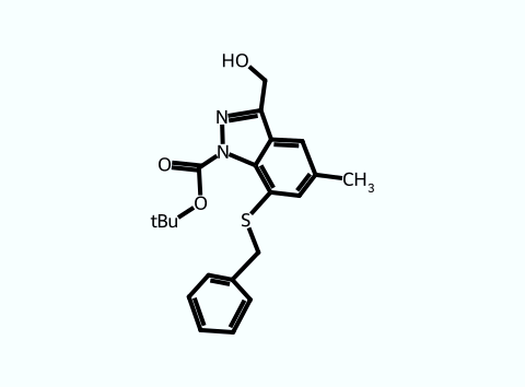 Cc1cc(SCc2ccccc2)c2c(c1)c(CO)nn2C(=O)OC(C)(C)C